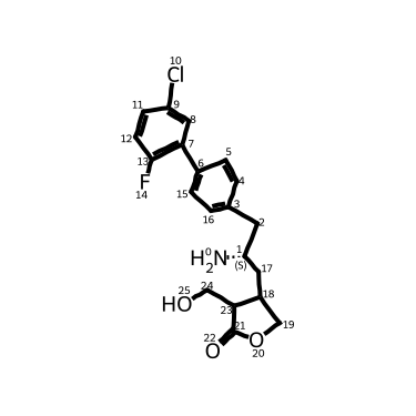 N[C@H](Cc1ccc(-c2cc(Cl)ccc2F)cc1)CC1COC(=O)C1CO